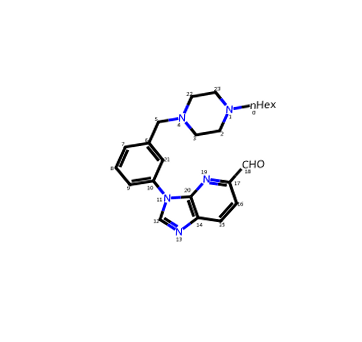 CCCCCCN1CCN(Cc2cccc(-n3cnc4ccc(C=O)nc43)c2)CC1